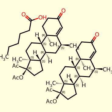 CC(=O)O[C@]1(C(C)=O)CC[C@H]2[C@@H]3C[C@H](C)C4=CC(=O)CC[C@]4(C)[C@H]3CC[C@@]21C.CC(=O)O[C@]1(C(C)=O)CC[C@H]2[C@@H]3C[C@H](C)C4=CC(=O)CC[C@]4(C)[C@H]3CC[C@@]21C.CCCCCC(=O)O